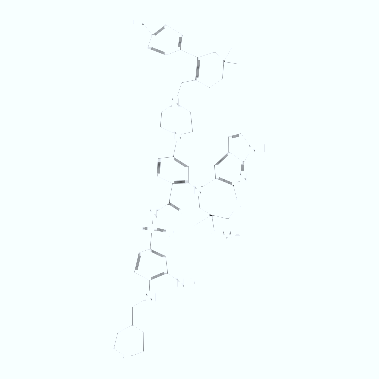 COC1(C)CSc2nc3[nH]ccc3cc2N(c2cc(N3CCN(CC4=C(c5ccc(Cl)cc5)CC(C)(C)CC4)CC3)ccc2C(=O)NS(=O)(=O)c2ccc(NCC3CCOCC3)c([N+](=O)[O-])c2)C1